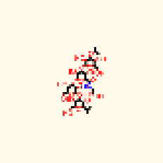 CC(C)OC1C(O)C(CO)OC(OC2C(O)C(OC3C(O)C(CO)OC(OC4C(O)C(CO)OC(C(C)C)C4O)C3O)OC(C(=O)NCCO)C2O)C1O